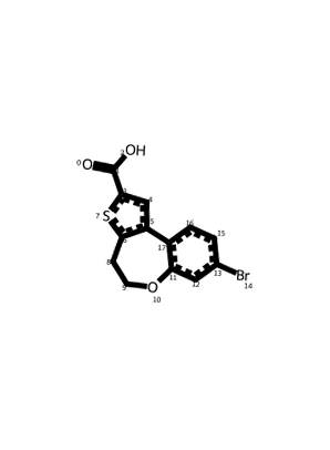 O=C(O)c1cc2c(s1)CCOc1cc(Br)ccc1-2